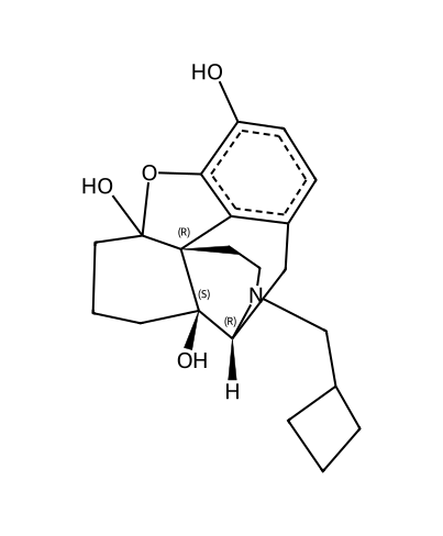 Oc1ccc2c3c1OC1(O)CCC[C@@]4(O)[C@@H](C2)N(CC2CCC2)CC[C@]314